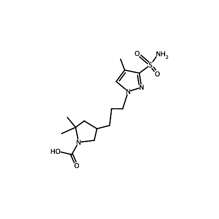 Cc1cn(CCCC2CN(C(=O)O)C(C)(C)C2)nc1S(N)(=O)=O